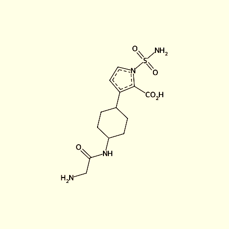 NCC(=O)NC1CCC(c2ccn(S(N)(=O)=O)c2C(=O)O)CC1